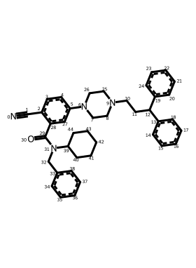 N#Cc1ccc(N2CCN(CCC(c3ccccc3)c3ccccc3)CC2)cc1C(=O)N(Cc1ccccc1)C1CCCCC1